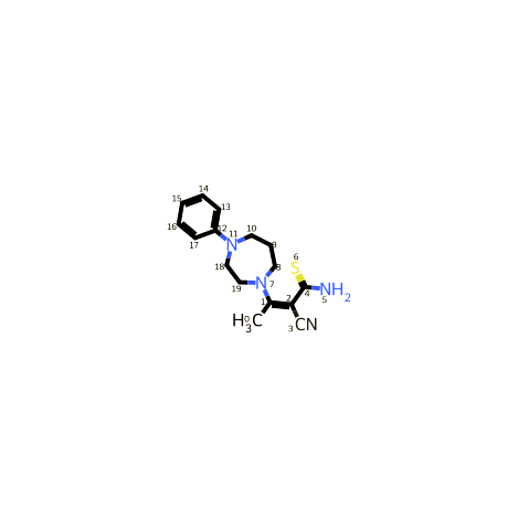 CC(=C(C#N)C(N)=S)N1CCCN(c2ccccc2)CC1